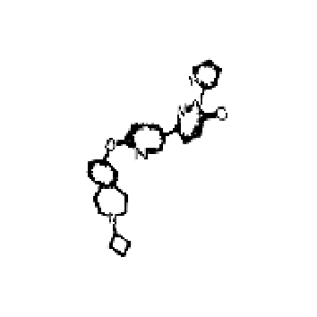 O=c1ccc(-c2ccc(Oc3ccc4c(c3)CCN(C3CCC3)CC4)nc2)nn1-c1ccccn1